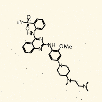 COc1cc(N2CCC(N(C)CCN(C)C)CC2)ccc1Nc1nc(Nc2ccccc2S(=O)(=O)C(C)C)c2ccccc2n1